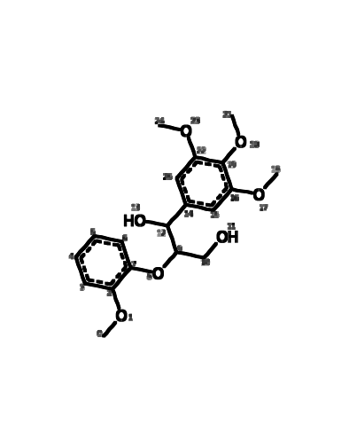 COc1ccccc1OC(CO)C(O)c1cc(OC)c(OC)c(OC)c1